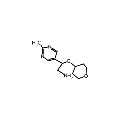 Cc1ncc(C(CN)OC2CCOCC2)cn1